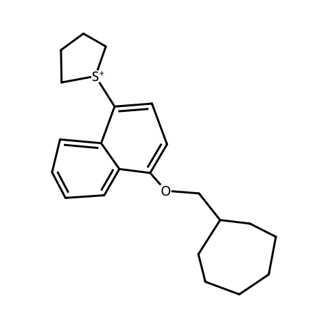 c1ccc2c([S+]3CCCC3)ccc(OCC3CCCCCC3)c2c1